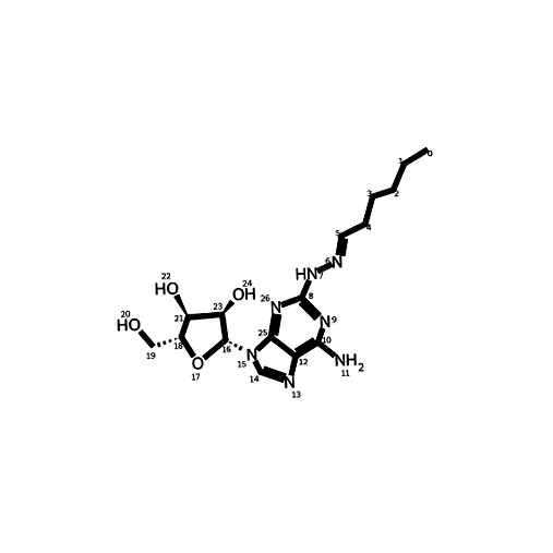 CCCCCC=NNc1nc(N)c2ncn([C@@H]3O[C@H](CO)[C@@H](O)[C@H]3O)c2n1